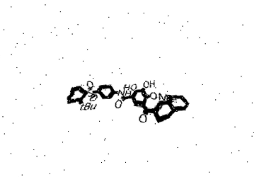 COc1c(C(=O)c2ccc3ccccc3c2)cc(C(=O)Nc2ccc(S(=O)(=O)c3ccccc3C(C)(C)C)cc2)c(O)c1O